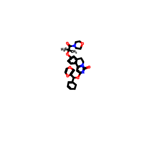 CC(C)(Oc1ccc2c(c1)CCn1c-2cc(OC(C2=CC=CCC2)C2=COC=CO2)nc1=O)C(=O)N1CCOCC1